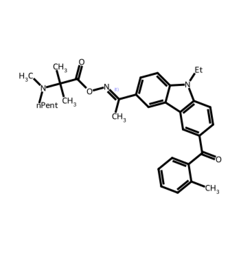 CCCCCN(C)C(C)(C)C(=O)O/N=C(\C)c1ccc2c(c1)c1cc(C(=O)c3ccccc3C)ccc1n2CC